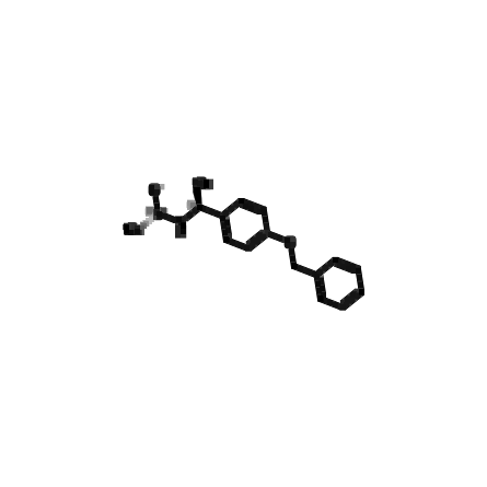 CC(C)(C)[C@H](N[S@@+]([O-])C(C)(C)C)c1ccc(OCc2ccccc2)cc1